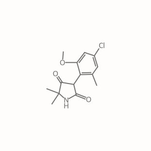 COc1cc(Cl)cc(C)c1C1C(=O)NC(C)(C)C1=O